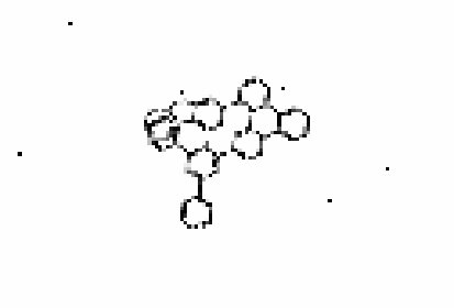 c1ccc(-c2nc(-c3ccccc3)nc(-c3ccc4c5ccccc5c5cccc(-c6ccc7c(c6)oc6ccccc67)c5c4c3)n2)cc1